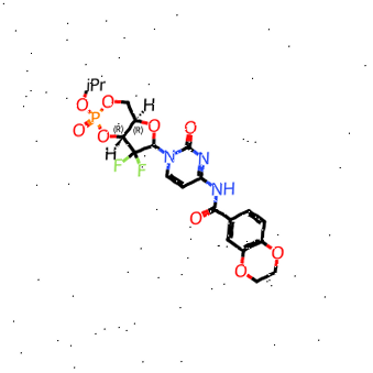 CC(C)OP1(=O)OC[C@H]2OC(n3ccc(NC(=O)c4ccc5c(c4)OCCO5)nc3=O)C(F)(F)[C@@H]2O1